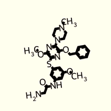 COc1cc(NC(=O)CN)cc(Sc2nc(OCc3ccccc3)c(N3CCN(C)CC3)nc2OC)c1